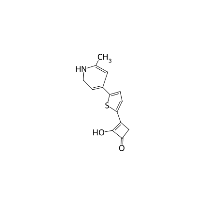 CC1=CC(c2ccc(C3=C(O)C(=O)C3)s2)=CCN1